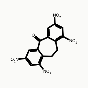 O=C1c2cc([N+](=O)[O-])cc([N+](=O)[O-])c2CCc2c1cc([N+](=O)[O-])cc2[N+](=O)[O-]